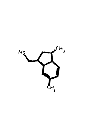 CC1=CC2C(CS)CC(C)C2C=C1